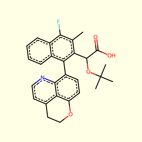 Cc1c(C(OC(C)(C)C)C(=O)O)c(-c2ccc3c4c(ccnc24)CCO3)c2ccccc2c1F